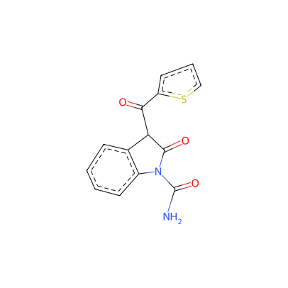 NC(=O)N1C(=O)C(C(=O)c2cccs2)c2ccccc21